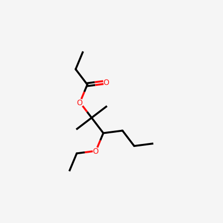 CCCC(OCC)C(C)(C)OC(=O)CC